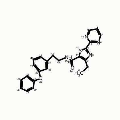 CCc1nc(-c2ncccn2)sc1C(=O)NCCc1cccc(Oc2ccccc2)c1